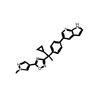 Cn1cc(-c2nc(C(C)(c3ccc(-c4cnc5[nH]ccc5c4)cc3)C3CC3)no2)cn1